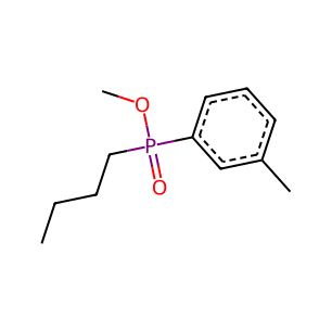 CCCCP(=O)(OC)c1cccc(C)c1